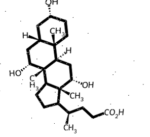 C[C@H](CCC(=O)O)C1CCC2[C@]1(C)[C@@H](O)C[C@@H]1[C@@]3(C)CC[C@@H](O)C[C@H]3C[C@@H](O)[C@@]21C